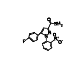 NC(=O)c1cc(-c2ccc(F)cc2)n(-c2ccccc2[N+](=O)[O-])n1